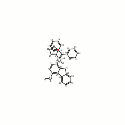 COc1cc[c]([Zr]([CH3])([CH3])([C]2=CC=CC2)=[C](c2ccccc2)c2ccccc2)c2c1-c1ccccc1C2